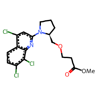 COC(=O)CCOC[C@@H]1CCCN1c1cc(Cl)c2ccc(Cl)c(Cl)c2n1